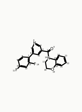 O=C(c1cncc(-c2ccc(F)cc2F)c1)N1CCOc2ccccc21